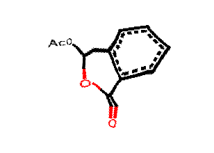 CC(=O)OC1OC(=O)c2ccccc21